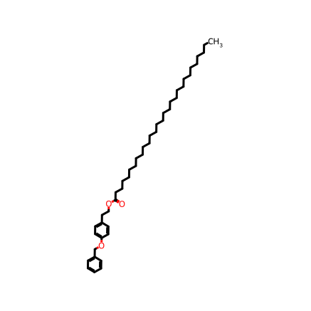 CCCCCCCCCCCCCCCCCCCCCCCCCCCCC(=O)OCCc1ccc(OCc2ccccc2)cc1